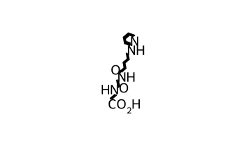 O=C(O)CCNC(=O)CNC(=O)CCCCNc1ccccn1